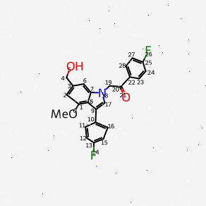 COc1cc(CO)cc2c1c(-c1ccc(F)cc1)cn2CC(=O)c1ccc(F)cc1